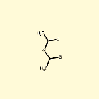 CC(Cl)[N]C(C)Cl